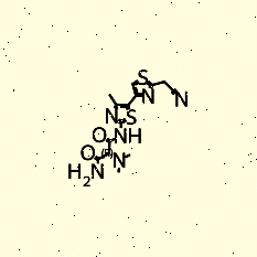 Cc1nc(NC(=O)[C@@H](C(N)=O)N(C)C)sc1-c1csc(CC#N)n1